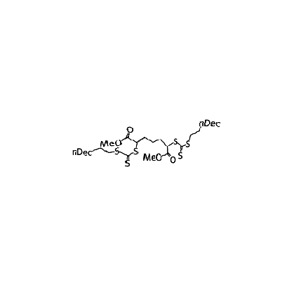 CCCCCCCCCCCCSC(=S)SC(CCCC(SC(=S)SCCCCCCCCCCCC)C(=O)OC)C(=O)OC